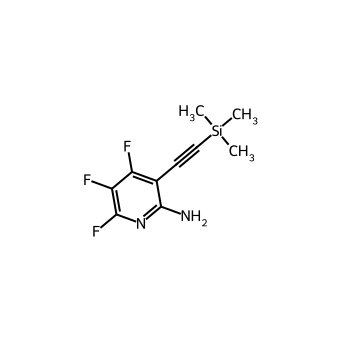 C[Si](C)(C)C#Cc1c(N)nc(F)c(F)c1F